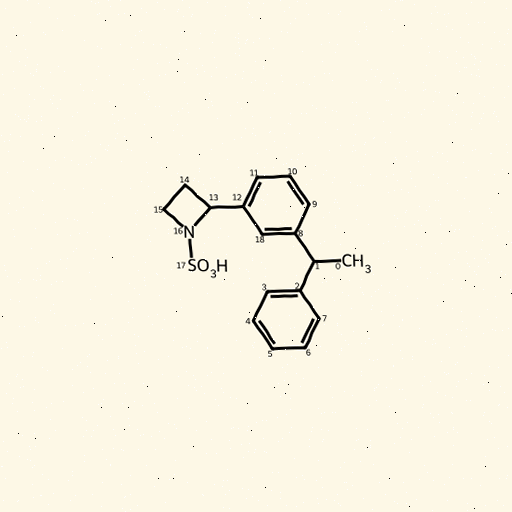 CC(c1ccccc1)c1cccc(C2CCN2S(=O)(=O)O)c1